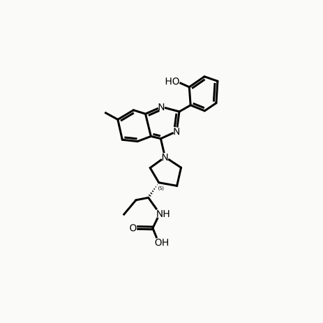 CCC(NC(=O)O)[C@H]1CCN(c2nc(-c3ccccc3O)nc3cc(C)ccc23)C1